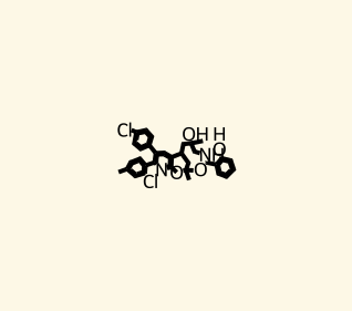 Cc1ccc(-c2nc3c(cc2-c2ccc(Cl)cc2)C(CC(C)(O)CNC(=O)c2ccccc2O)CC(C)(C)O3)c(Cl)c1